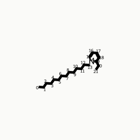 CCCCCCCCCCCCCCN1C=CC=CC1CC